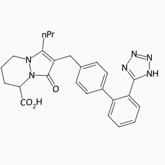 CCCc1c(Cc2ccc(-c3ccccc3-c3nnn[nH]3)cc2)c(=O)n2n1CCCC2C(=O)O